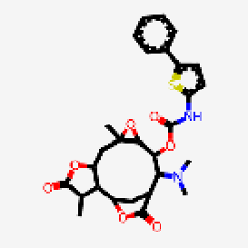 CC1C(=O)OC2CC3(C)OC3C(OC(=O)Nc3ccc(-c4ccccc4)s3)C(N(C)C)C3CC(OC3=O)C21